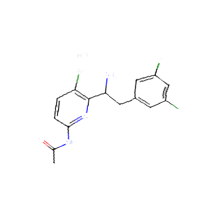 CC(=O)Nc1ccc(Br)c(C(N)Cc2cc(F)cc(F)c2)n1.Cl